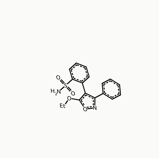 CCOc1onc(-c2ccccc2)c1-c1ccccc1S(N)(=O)=O